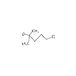 CC(C)([O])CCCCl